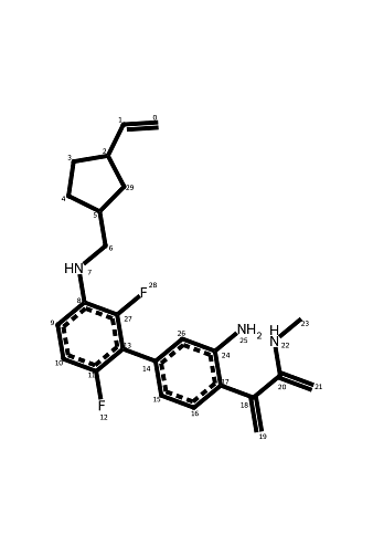 C=CC1CCC(CNc2ccc(F)c(-c3ccc(C(=C)C(=C)NC)c(N)c3)c2F)C1